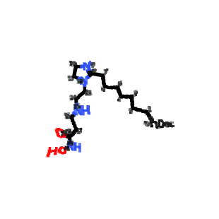 CCCCCCCCCCCCCCCCCC1=NCCN1CCNCCC(=O)NO